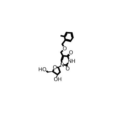 Cc1ccccc1COCc1cn([C@H]2C[C@@H](O)[C@@H](CO)O2)c(=O)[nH]c1=O